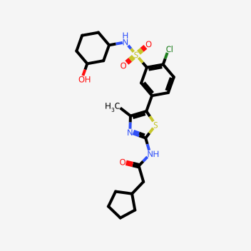 Cc1nc(NC(=O)CC2CCCC2)sc1-c1ccc(Cl)c(S(=O)(=O)NC2CCCC(O)C2)c1